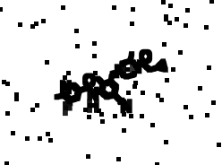 Cc1ncc(C(=O)Nc2cc(C#N)cc(CN3CCN(C(=O)CC4CC4)C(C)C3)c2C)cc1F